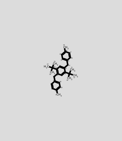 Cc1ccc(Cc2cc(C(C)(C)C)c(Cc3ccc(C)cc3)cc2C(C)(C)C)cc1